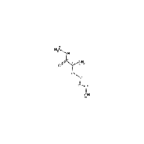 NNC(=O)N(N)CCCCO